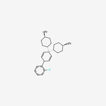 CCC[C@H]1CC[C@H](C2([C@H]3CC[C@H](CCC)CC3)C=CC(c3ccccc3F)C=C2)CC1